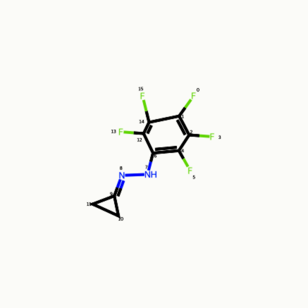 Fc1c(F)c(F)c(NN=C2CC2)c(F)c1F